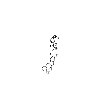 Cn1cnc(S(=O)(=O)NCCOc2cc3c(cc2F)CC(N2CCC2)C3Cc2cccc(Cl)c2)c1